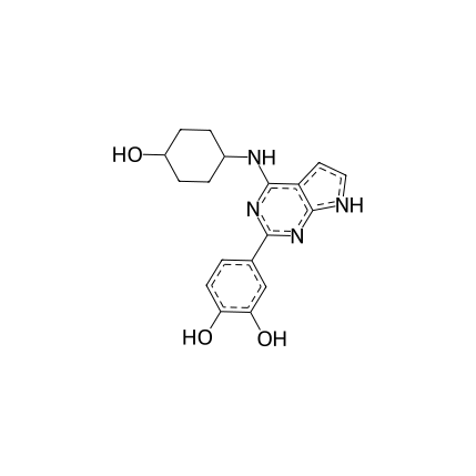 Oc1ccc(-c2nc(NC3CCC(O)CC3)c3cc[nH]c3n2)cc1O